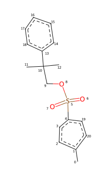 Cc1ccc(S(=O)(=O)OCC(C)(C)c2ccccc2)cc1